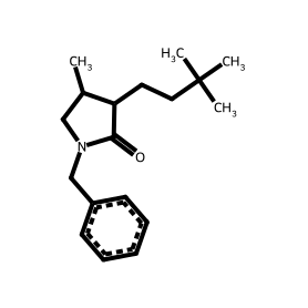 CC1CN(Cc2ccccc2)C(=O)C1CCC(C)(C)C